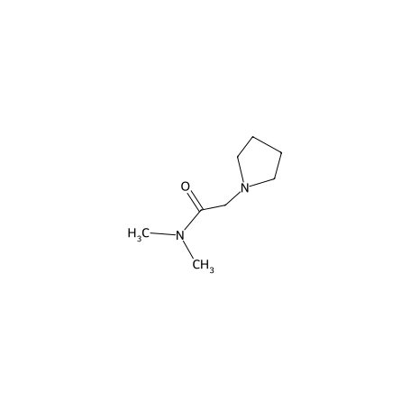 CN(C)C(=O)CN1CCCC1